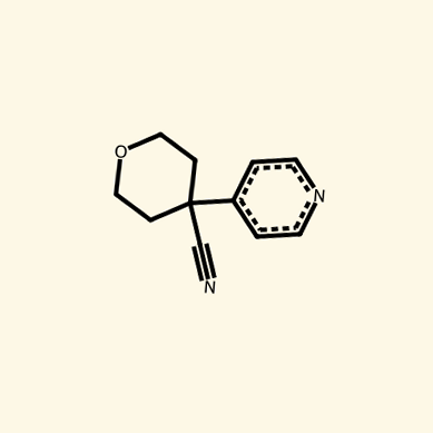 N#CC1(c2ccncc2)CCOCC1